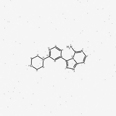 Nc1nccc2nnc(-c3ccnc(N4CCOCC4)c3)n12